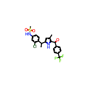 Cc1cc(C(C)c2ccc(NS(C)(=O)=O)cc2Cl)[nH]c1C(=O)c1ccc(C(F)(F)F)cc1